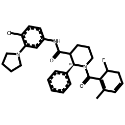 CC1=C(C(=O)N2CCCC(C(=O)Nc3ccc(Cl)c(N4CCCC4)c3)[C@@H]2c2ccccc2)C(F)CC=C1